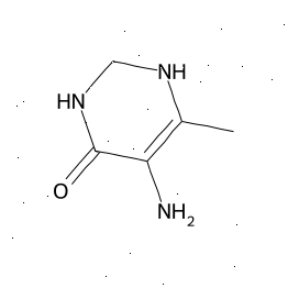 CC1=C(N)C(=O)NCN1